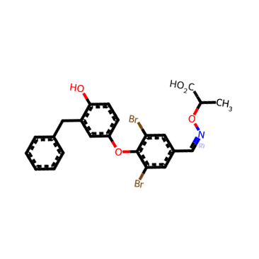 CC(O/N=C\c1cc(Br)c(Oc2ccc(O)c(Cc3ccccc3)c2)c(Br)c1)C(=O)O